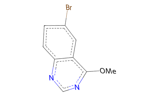 COc1ncnc2ccc(Br)cc12